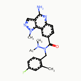 CC(=O)N(C)N(Cc1ccc(F)cc1C)C(=O)c1ccc2nc(N)c3cnn(C)c3c2c1